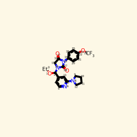 CCOC(c1ccnc(N2CCCC2)c1)N1CC(=O)N(c2ccc(OC(F)(F)F)cc2)C1=O